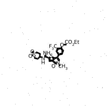 CCOC(=O)COc1ccc(-c2cn(C)c(=O)c3cc(C(=N)NC4CCS(=O)(=O)CC4)sc23)cc1C(F)(F)F